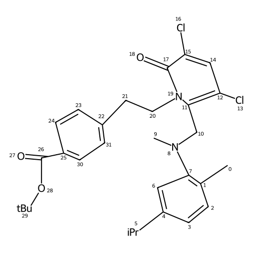 Cc1ccc(C(C)C)cc1N(C)Cc1c(Cl)cc(Cl)c(=O)n1CCc1ccc(C(=O)OC(C)(C)C)cc1